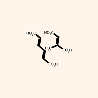 CC(=CC(=O)O)C(=O)O.O=C(O)C=CC=CC(=O)O